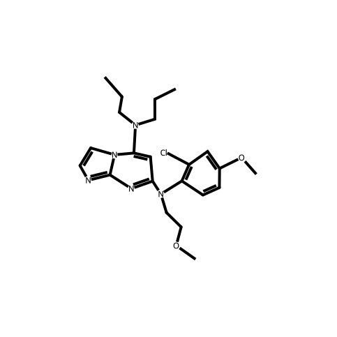 CCCN(CCC)c1cc(N(CCOC)c2ccc(OC)cc2Cl)nc2nccn12